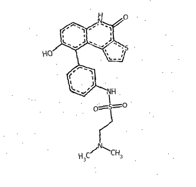 CN(C)CCS(=O)(=O)Nc1cccc(-c2c(O)ccc3[nH]c(=O)c4sccc4c23)c1